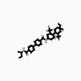 CCC(C)NC(=O)c1ccc(-c2ccc(C(=O)Nc3ccc(C4=CCC(C)(CC)C=C4C(F)(F)F)c(C(F)(F)F)c3)cc2)cc1